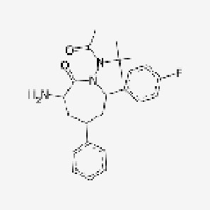 CC(=O)N(N1C(=O)C(N)CC(c2ccccc2)CC1c1ccc(F)cc1)C(C)(C)C